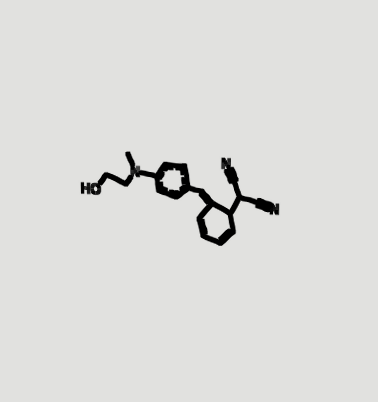 CN(CCO)c1ccc(C=C2C=CC=CC2C(C#N)C#N)cc1